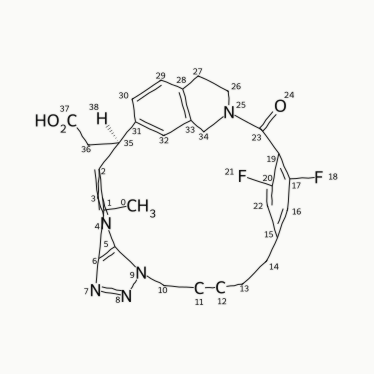 Cc1c2cnc3c1nnn3CCCCCc1cc(F)c(c(F)c1)C(=O)N1CCc3ccc(cc3C1)[C@@H]2CC(=O)O